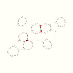 CC1(C)c2ccccc2-c2ccc(N(c3ccccc3-c3cccc4c3C(C)(C)c3ccccc3-4)c3cccc(-c4ccccc4)c3-c3ccccc3)cc21